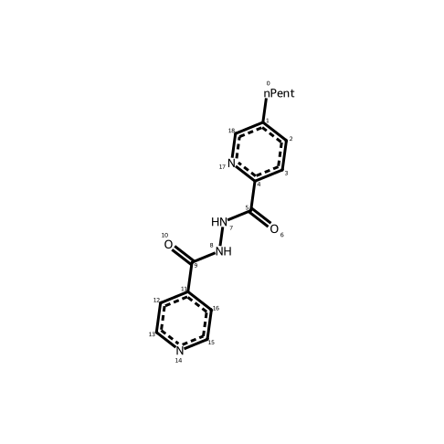 CCCCCc1ccc(C(=O)NNC(=O)c2ccncc2)nc1